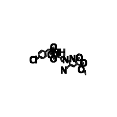 CCOC(=O)c1cc(C#N)c(N2CC(C(=O)NS(=O)(=O)Cc3ccc(Cl)cc3)C2)nc1OC